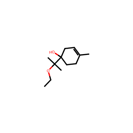 CCOC(C)(C)C1(O)CC=C(C)CC1